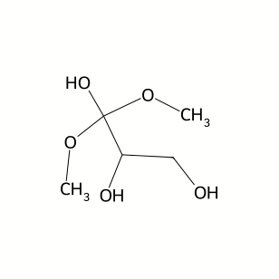 COC(O)(OC)C(O)CO